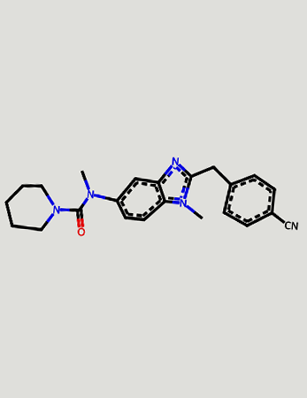 CN(C(=O)N1CCCCC1)c1ccc2c(c1)nc(Cc1ccc(C#N)cc1)n2C